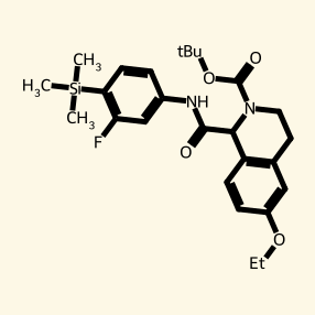 CCOc1ccc2c(c1)CCN(C(=O)OC(C)(C)C)C2C(=O)Nc1ccc([Si](C)(C)C)c(F)c1